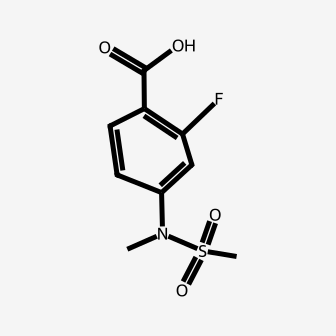 CN(c1ccc(C(=O)O)c(F)c1)S(C)(=O)=O